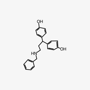 Oc1ccc(C(CCNCc2ccccc2)c2ccc(O)cc2)cc1